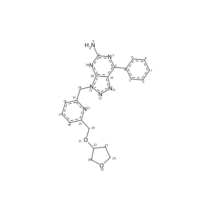 Nc1nc(-c2ccccc2)c2nnn(Cc3cccc(COC4CCOC4)n3)c2n1